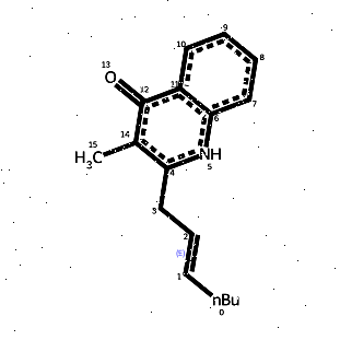 CCCC/C=C/Cc1[nH]c2ccccc2c(=O)c1C